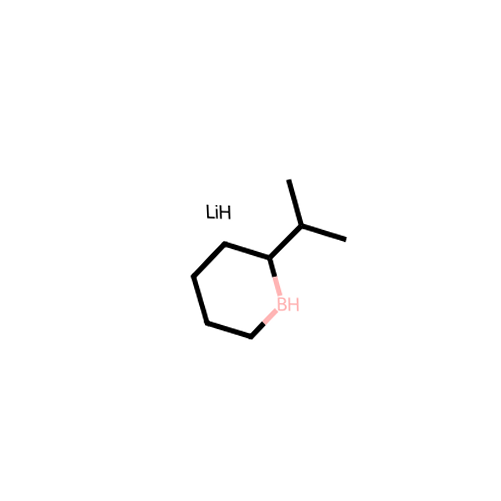 CC(C)C1BCCCC1.[LiH]